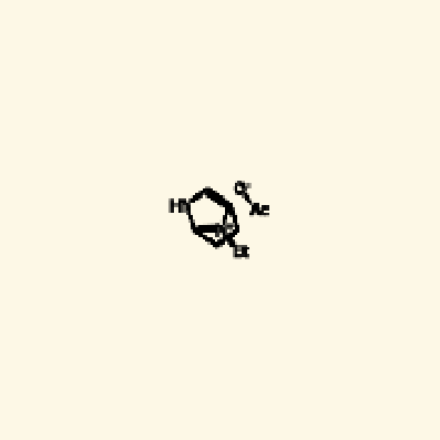 CC(=O)[O-].CC[n+]1c2c[nH]c1CC2